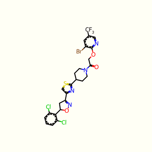 O=C(COc1ncc(C(F)(F)F)cc1Br)N1CCC(c2nc(C3=NOC(c4c(Cl)cccc4Cl)C3)cs2)CC1